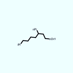 CCCCCCCCCCC(CCC)CCCCC(C)C